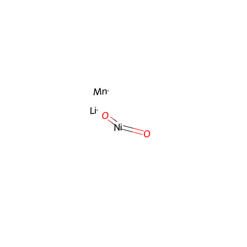 [Li].[Mn].[O]=[Ni]=[O]